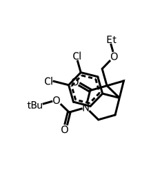 CCOCC12CC1(c1ccc(Cl)c(Cl)c1)CCN(C(=O)OC(C)(C)C)C2=O